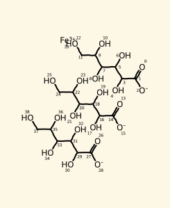 O=C([O-])C(O)C(O)C(O)C(O)CO.O=C([O-])C(O)C(O)C(O)C(O)CO.O=C([O-])C(O)C(O)C(O)C(O)CO.[Fe+3]